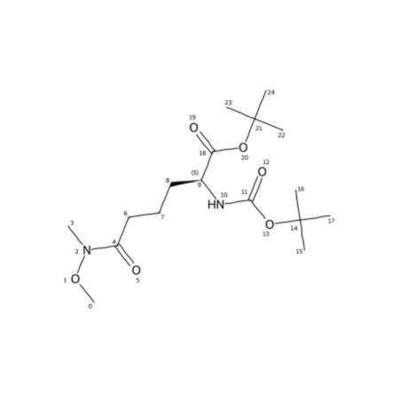 CON(C)C(=O)CCC[C@H](NC(=O)OC(C)(C)C)C(=O)OC(C)(C)C